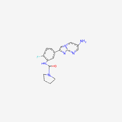 Nc1cnc2nc(-c3ccc(F)c(NC(=O)N4CCCC4)c3)cn2c1